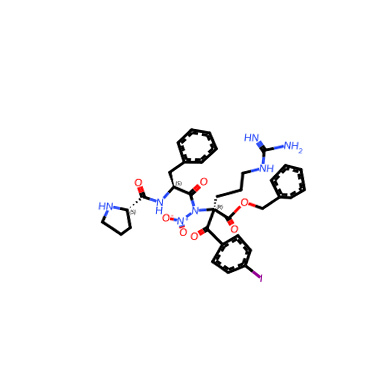 N=C(N)NCCC[C@](C(=O)OCc1ccccc1)(C(=O)c1ccc(I)cc1)N(C(=O)[C@H](Cc1ccccc1)NC(=O)[C@@H]1CCCN1)[N+](=O)[O-]